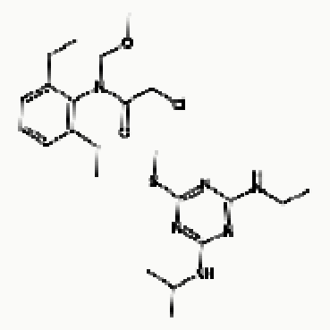 CCNc1nc(NC(C)C)nc(SC)n1.CCc1cccc(CC)c1N(COC)C(=O)CCl